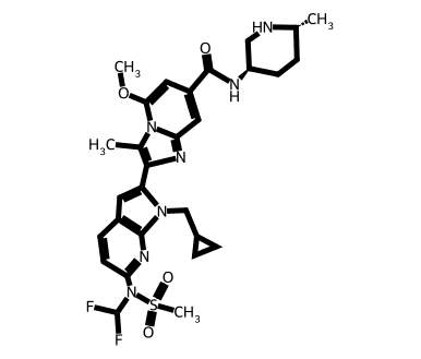 COc1cc(C(=O)N[C@@H]2CC[C@@H](C)NC2)cc2nc(-c3cc4ccc(N(C(F)F)S(C)(=O)=O)nc4n3CC3CC3)c(C)n12